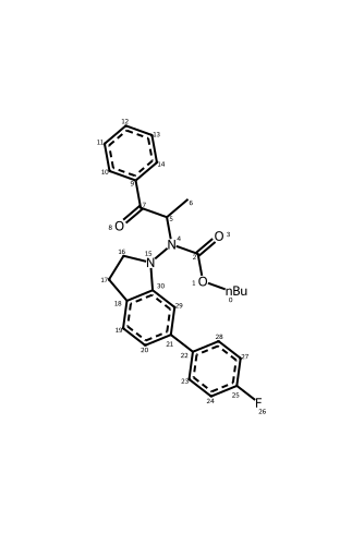 CCCCOC(=O)N(C(C)C(=O)c1ccccc1)N1CCc2ccc(-c3ccc(F)cc3)cc21